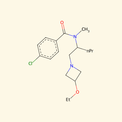 CCCC(CN1CC(OCC)C1)N(C)C(=O)c1ccc(Cl)cc1